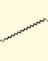 CCCC=CCCCCCCCCCCCCCCCCCCCCC